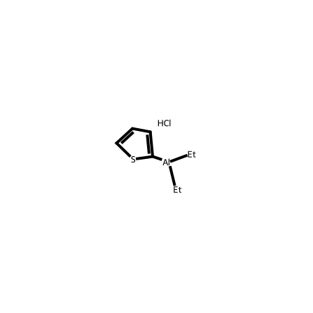 C[CH2][Al]([CH2]C)[c]1cccs1.Cl